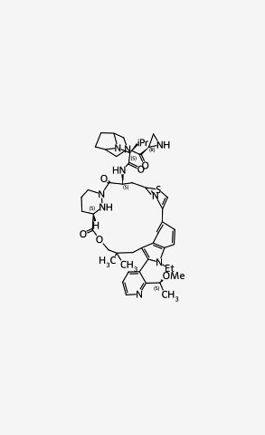 CCn1c(-c2cccnc2[C@H](C)OC)c2c3cc(ccc31)-c1csc(n1)C[C@H](NC(=O)[C@H](C(C)C)N1C3CCC1CN(C(=O)[C@H]1CN1)C3)C(=O)N1CCC[C@H](N1)C(=O)OCC(C)(C)C2